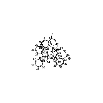 CC1=C2c3c(C(C)C)cccc3[CH]1[Zr]([CH2]c1ccccc1)([CH2]c1ccccc1)[CH]1C(C)=C(c3c(C(C)C)cccc31)[Si]2(C)C